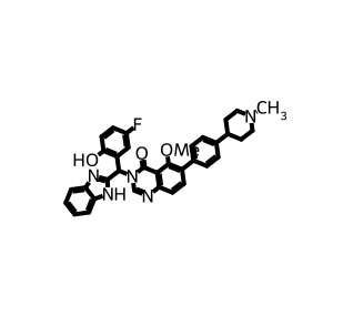 COc1c(-c2ccc(C3CCN(C)CC3)cc2)ccc2ncn(C(c3nc4ccccc4[nH]3)c3cc(F)ccc3O)c(=O)c12